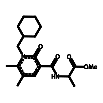 COC(=O)C(C)NC(=O)c1cc(C)c(C)n(CC2CCCCC2)c1=O